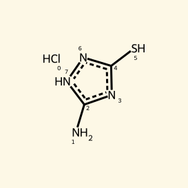 Cl.Nc1nc(S)n[nH]1